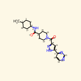 CC1CCC(NC(=O)C2CCN(C(=O)c3cc(-c4ccncn4)[nH]n3)CC2)CC1